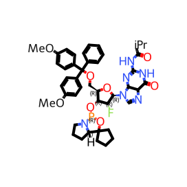 COc1ccc(C(OC[C@H]2O[C@@H](N3C=NC4C(=O)NC(NC(=O)C(C)C)=NC43)[C@H](F)[C@@H]2O[P@@]2OC3(CCCC3)[C@@H]3CCCN32)(c2ccccc2)c2ccc(OC)cc2)cc1